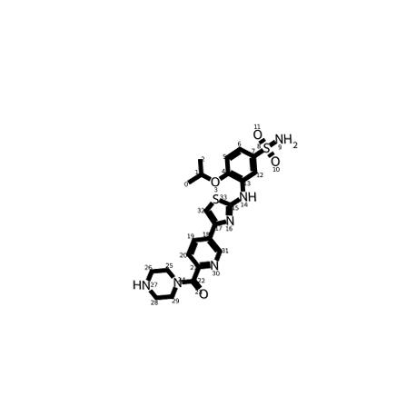 CC(C)Oc1ccc(S(N)(=O)=O)cc1Nc1nc(-c2ccc(C(=O)N3CCNCC3)nc2)cs1